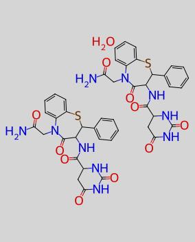 NC(=O)CN1C(=O)C(NC(=O)C2CC(=O)NC(=O)N2)C(c2ccccc2)Sc2ccccc21.NC(=O)CN1C(=O)C(NC(=O)C2CC(=O)NC(=O)N2)C(c2ccccc2)Sc2ccccc21.O